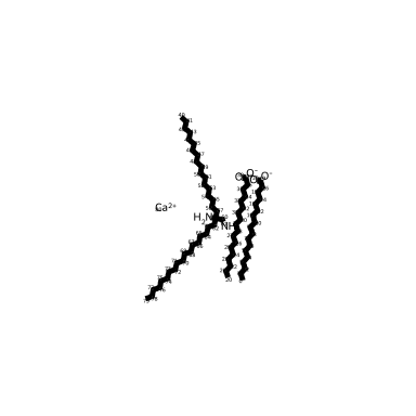 CCCCCCCCCCCCCCCCCC(=O)[O-].CCCCCCCCCCCCCCCCCC(=O)[O-].CCCCCCCCCCCCCCCCCCC(N)(CN)CCCCCCCCCCCCCCCCCC.[Ca+2]